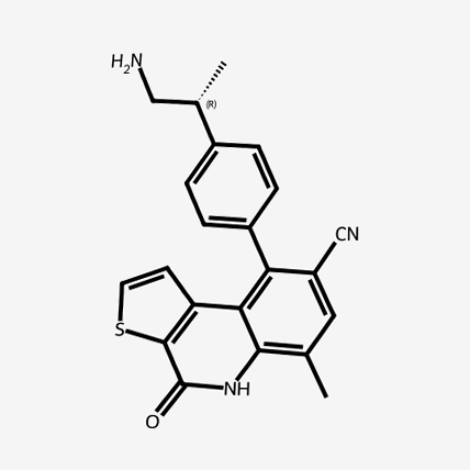 Cc1cc(C#N)c(-c2ccc([C@@H](C)CN)cc2)c2c1[nH]c(=O)c1sccc12